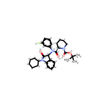 CC(C)(C)OC(=O)N1CCCC[C@@H]1C(=O)N(c1cccc(F)c1)C1C(=O)N(C2CCCCC2)c2ccccc21